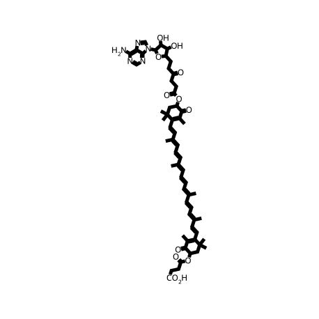 CC1=C(/C=C/C(C)=C/C=C/C(C)=C/C=C/C=C(C)/C=C/C=C(C)/C=C/C2=C(C)C(=O)C(OC(=O)CCC(=O)CCC3OC(n4cnc5c(N)ncnc54)C(O)C3O)CC2(C)C)C(C)(C)CC(OC(=O)CCC(=O)O)C1=O